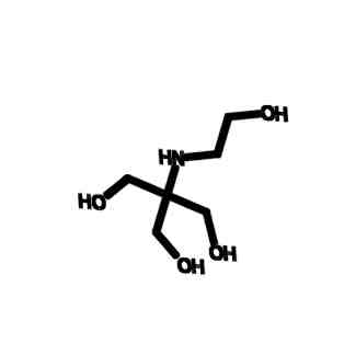 OCCNC(CO)(CO)CO